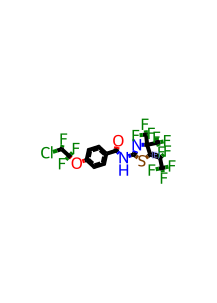 O=C(NC1=NC(C(F)(F)F)(C(F)(F)F)/C(=C(\F)C(F)(F)F)S1)c1ccc(OC(F)(F)C(F)Cl)cc1